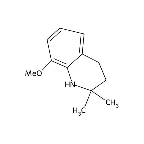 COc1cccc2c1NC(C)(C)CC2